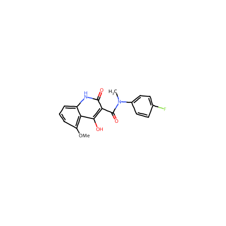 COc1cccc2[nH]c(=O)c(C(=O)N(C)c3ccc(F)cc3)c(O)c12